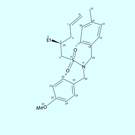 C=CC[C@H](CC)CS(=O)(=O)N(Cc1ccc(C)cc1)Cc1ccc(OC)cc1